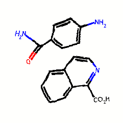 NC(=O)c1ccc(N)cc1.O=C(O)c1nccc2ccccc12